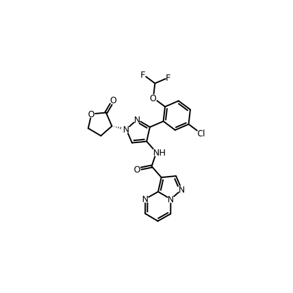 O=C(Nc1cn([C@@H]2CCOC2=O)nc1-c1cc(Cl)ccc1OC(F)F)c1cnn2cccnc12